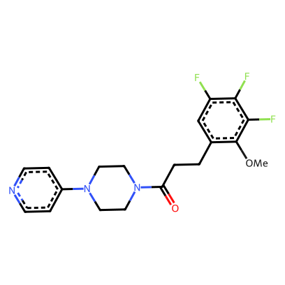 COc1c(CCC(=O)N2CCN(c3ccncc3)CC2)cc(F)c(F)c1F